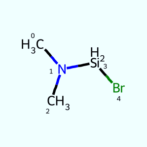 CN(C)[SiH2]Br